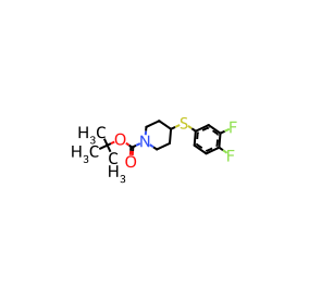 CC(C)(C)OC(=O)N1CCC(Sc2ccc(F)c(F)c2)CC1